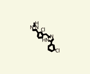 Cc1ncc(-c2cccc(Cc3ncc(-c4cccc(Cl)c4)[nH]3)c2Cl)[nH]1